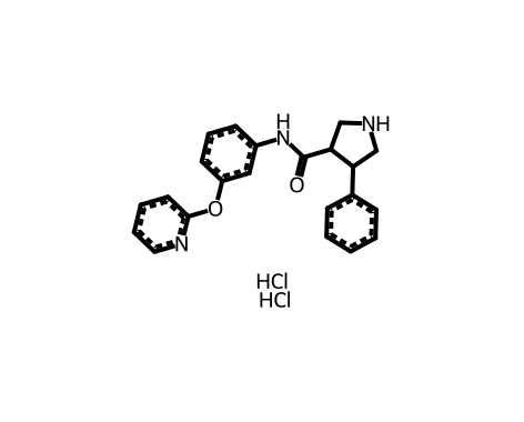 Cl.Cl.O=C(Nc1cccc(Oc2ccccn2)c1)C1CNCC1c1ccccc1